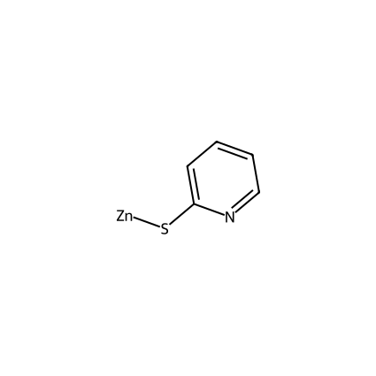 [Zn][S]c1ccccn1